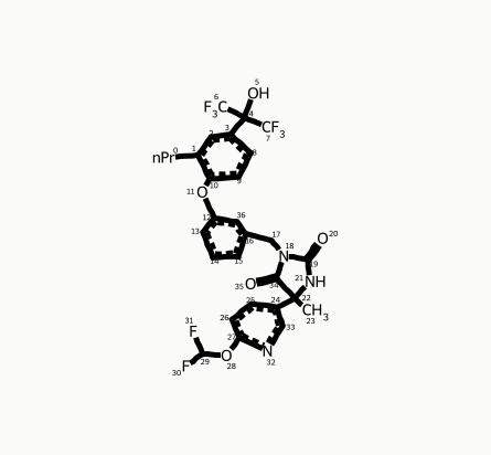 CCCc1cc(C(O)(C(F)(F)F)C(F)(F)F)ccc1Oc1cccc(CN2C(=O)NC(C)(c3ccc(OC(F)F)nc3)C2=O)c1